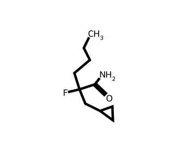 CCCCC(F)(CC1CC1)C(N)=O